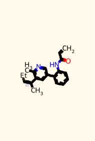 C=CC(=O)Nc1ccccc1-c1cnc(C)c(/C(C)=C\CC)c1